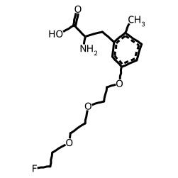 Cc1ccc(OCCOCCOCCF)cc1CC(N)C(=O)O